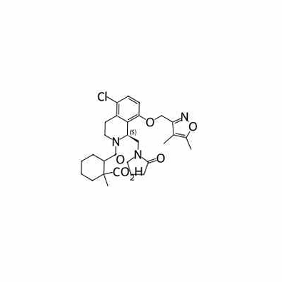 Cc1onc(COc2ccc(Cl)c3c2[C@@H](CN2CCCC2=O)N(C(=O)C2CCCCC2(C)C(=O)O)CC3)c1C